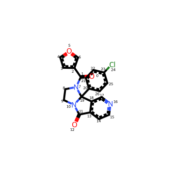 O=C(c1ccoc1)N1CCN2C(=O)c3ccncc3C12c1ccc(Cl)cc1